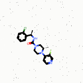 C[C@@H](NC(=O)N1CCN(c2ccncc2F)[C@@H](C)C1)c1ccccc1Cl